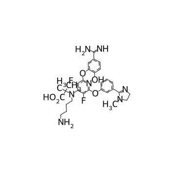 CN1CCN=C1c1cccc(Oc2nc(Oc3cc(C(=N)N)ccc3O)c(F)c(N(CCCCN)C(C)(C)C(=O)O)c2F)c1